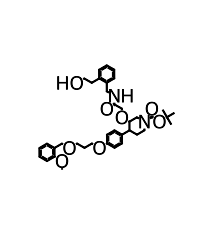 COc1ccccc1COCCCOc1ccc(C2CCN(C(=O)OC(C)(C)C)CC2OCC(=O)NCc2ccccc2CCO)cc1